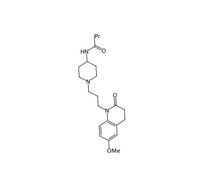 COc1ccc2c(c1)CCC(=O)N2CCCN1CCC(NC(=O)C(C)C)CC1